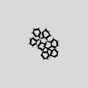 c1ccc(C2(c3ccccc3)c3ccccc3B3c4ccccc4S(c4ccccc4)(c4ccccc4)c4cccc2c43)cc1